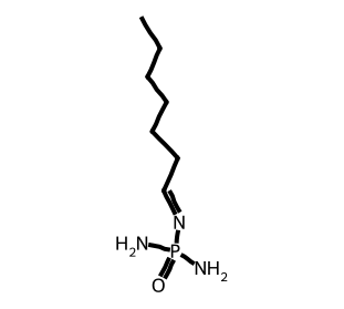 CCCCCCC=NP(N)(N)=O